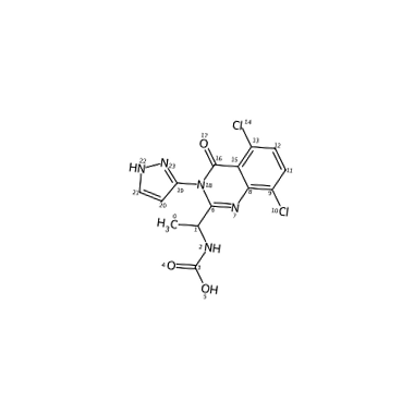 CC(NC(=O)O)c1nc2c(Cl)ccc(Cl)c2c(=O)n1-c1cc[nH]n1